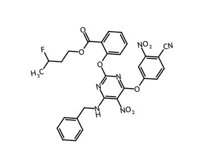 CC(F)CCOC(=O)c1ccccc1Oc1nc(NCc2ccccc2)c([N+](=O)[O-])c(Oc2ccc(C#N)c([N+](=O)[O-])c2)n1